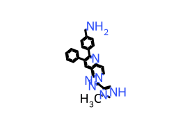 CN1CNC=C1c1nnc2c3cc(-c4ccccc4)c(-c4ccc(CN)cc4)nc3ccn12